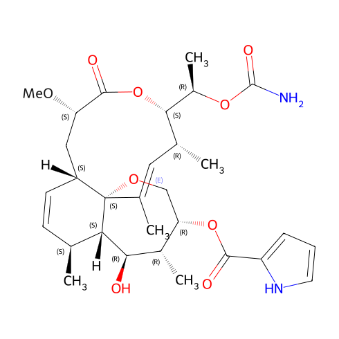 CO[C@H]1C[C@H]2C=C[C@H](C)[C@H]3[C@H](O)[C@@H](C)[C@@H](OC(=O)c4ccc[nH]4)CO[C@]32/C(C)=C/[C@@H](C)[C@@H]([C@@H](C)OC(N)=O)OC1=O